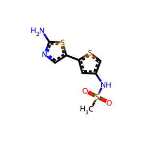 CS(=O)(=O)Nc1csc(-c2cnc(N)s2)c1